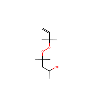 C=CC(C)(C)OOC(C)(C)CC(C)O